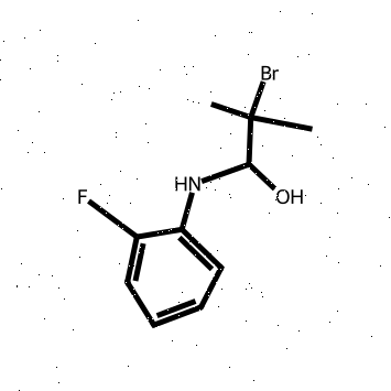 CC(C)(Br)C(O)Nc1ccccc1F